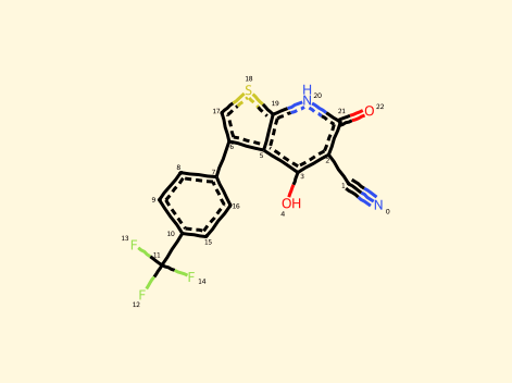 N#Cc1c(O)c2c(-c3ccc(C(F)(F)F)cc3)csc2[nH]c1=O